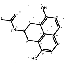 CC(=O)NC1Cc2c(O)ccc3ccc(O)c(c23)C1